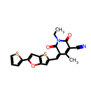 CCN1C(=O)C(C#N)=C(C)/C(=C/c2cc3oc(-c4cccs4)cc3s2)C1=O